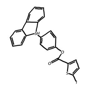 O=C(Oc1ccc([SH]2c3ccccc3-c3ccccc32)cc1)c1ccc(I)s1